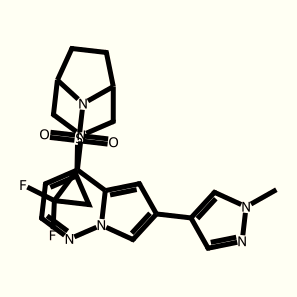 Cn1cc(-c2cc3c(N4CC5CCC(C4)N5S(=O)(=O)[C@H]4CC4(F)F)ccnn3c2)cn1